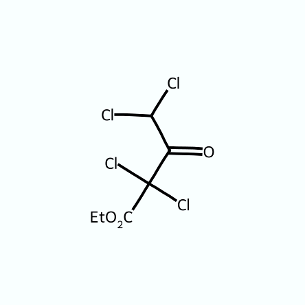 CCOC(=O)C(Cl)(Cl)C(=O)C(Cl)Cl